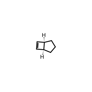 C1=C[C@H]2CCC[C@@H]12